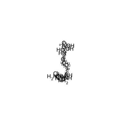 CC1OC[C@@H](O)[C@H]([C@H](O)[C@@H](O)CNCCCOc2ccc3cc(CCCCNC(=N)NC(=O)c4nc(Cl)c(N)nc4N)ccc3c2)O1